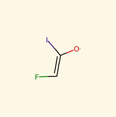 [O]/C(I)=C/F